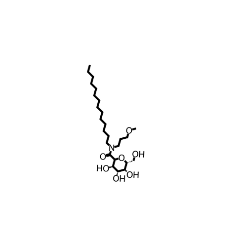 CCCCCCCCCCCCCCN(CCCOC)C(=O)C1O[C@H](CO)[C@@H](O)[C@H](O)[C@H]1O